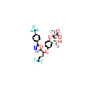 CC(C)(Oc1ccc(OC(CCC(F)(F)F)c2nnc(-c3ccc(C(F)(F)F)cc3)o2)cc1)C(=O)O